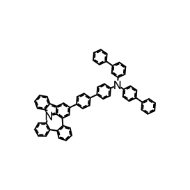 c1ccc(-c2ccc(N(c3ccc(-c4ccc(-c5cc6c7c(c5)c5ccccc5n7-c5ccccc5-c5ccccc5-6)cc4)cc3)c3cccc(-c4ccccc4)c3)cc2)cc1